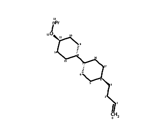 C=CCC[C@H]1CC[C@H]([C@H]2CC[C@H](OCCC)CC2)CC1